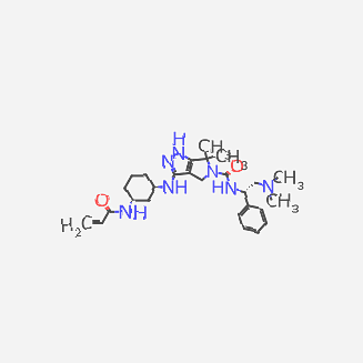 C=CC(=O)N[C@@H]1CCC[C@@H](Nc2n[nH]c3c2CN(C(=O)N[C@H](CN(C)C)c2ccccc2)C3(C)C)C1